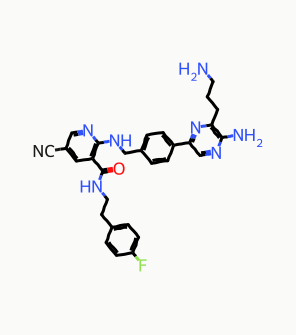 N#Cc1cnc(NCc2ccc(-c3cnc(N)c(CCCN)n3)cc2)c(C(=O)NCCc2ccc(F)cc2)c1